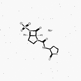 O=C1SCCC1NC(=O)N1CC[C@@H]2[C@H]1C(=O)N2S(=O)(=O)[O-].[Na+]